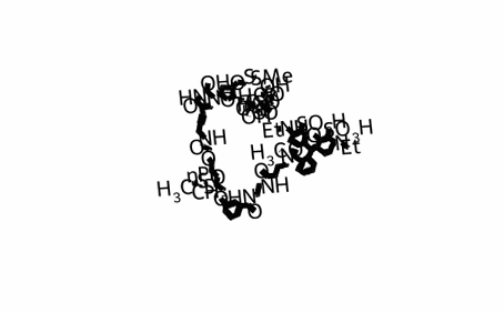 CCCC(C)(C)SSC(COc1cccc(C(=O)NCCNC(=O)CCCN(C)C(=O)c2ccccc2-c2c3cc/c(=N\CC)c(S(=O)(=O)O)c-3oc3c(S(=O)(=O)O)c(NCC)ccc23)c1)OCCOCC(=O)NCC#CC1=CN([C@H]2CC(OCSSC)[C@@H](COP(=O)(O)OP(=O)(O)OP(=O)(O)O)O2)C(O)NC1=O